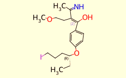 CC[C@H](CCCI)Oc1ccc(/C(O)=C(\CCOC)C(C)=N)cc1